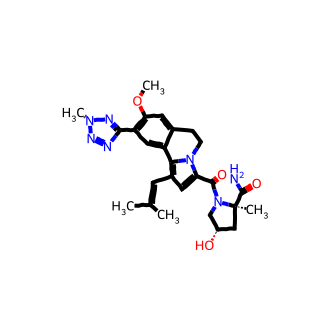 COc1cc2c(cc1-c1nnn(C)n1)-c1c(C=C(C)C)cc(C(=O)N3C[C@@H](O)C[C@]3(C)C(N)=O)n1CC2